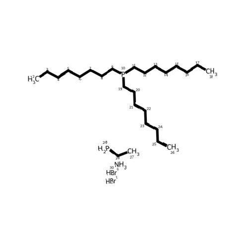 Br.Br.CCCCCCCCP(CCCCCCCC)CCCCCCCC.CCP.N